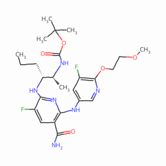 CCC[C@@H](Nc1nc(Nc2cnc(OCCOC)c(F)c2)c(C(N)=O)cc1F)[C@H](C)NC(=O)OC(C)(C)C